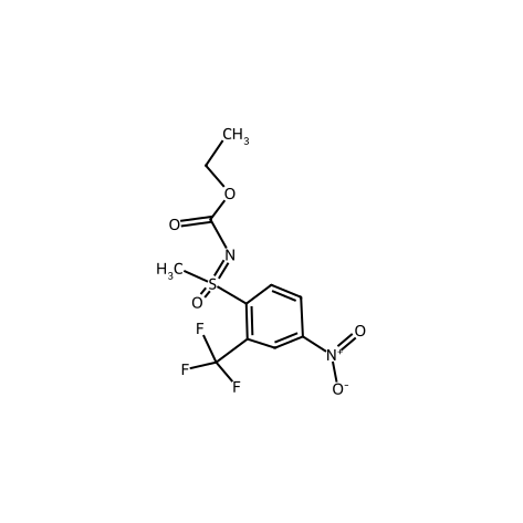 CCOC(=O)N=S(C)(=O)c1ccc([N+](=O)[O-])cc1C(F)(F)F